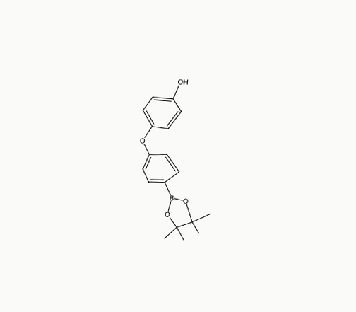 CC1(C)OB(c2ccc(Oc3ccc(O)cc3)cc2)OC1(C)C